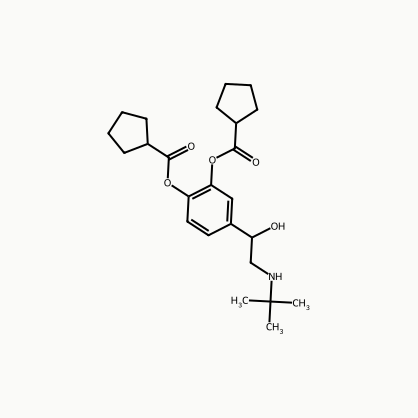 CC(C)(C)NCC(O)c1ccc(OC(=O)C2CCCC2)c(OC(=O)C2CCCC2)c1